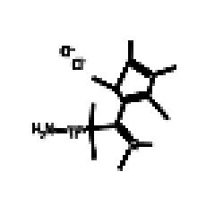 CC1=C(C)C(C)C(C(=[Si](C)C)[C](C)(C)[Ti+2][NH2])=C1C.[Cl-].[Cl-]